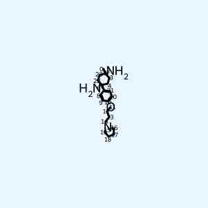 CC1(N)CCC(N)(c2ccc(OCCCN3CCCC3)cc2)CC1